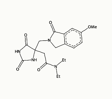 CCN(CC)C(=O)CC1(CN2Cc3ccc(OC)cc3C2=O)NC(=O)NC1=O